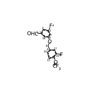 O=Cc1cc(F)cc(OCc2ccc(OC(F)(F)F)c(F)c2)c1